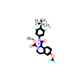 CC(C)(C)OC(=O)N1CCc2cc(OC(F)F)ccc2C1C(=O)Nc1cc(F)c([Si](C)(C)C)c(F)c1